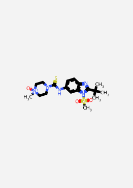 CC(C)(C)c1nc2ccc(NC(=S)N3CC[N+](C)([O-])CC3)cc2n1S(C)(=O)=O